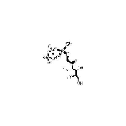 O=C(COP(=O)(O)OP(=O)(O)OP(=O)(O)O)[C@@H](O)[C@H](O)[C@H](O)CO